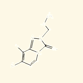 COCn1nc2c(I)c(Br)ccn2c1=O